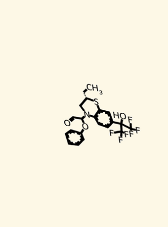 CC[C@H]1CN(C(C=O)Oc2ccccc2)c2ccc(C(O)(C(F)(F)F)C(F)(F)F)cc2S1